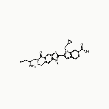 Cn1c(-c2cc3ccc(C(=O)O)cc3n2CC2CC2)nc2cc3c(cc21)CCN(CC(N)CF)C3=O